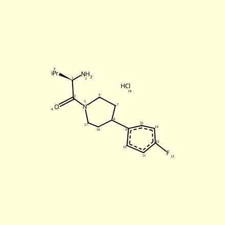 CC(C)[C@@H](N)C(=O)N1CCC(c2ccc(F)cc2)CC1.Cl